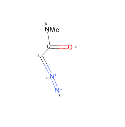 CNC(=O)C=[N+]=[N-]